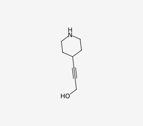 OCC#CC1CCNCC1